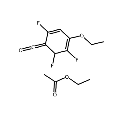 CCOC(C)=O.CCOC1=C(F)C(F)C(=C=O)C(F)=C1